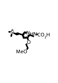 COCCOc1cc(C#C[Si](C)(C)C)cnc1CNC(=O)O